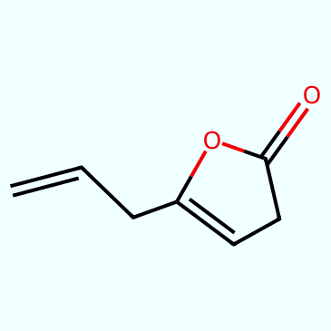 C=CCC1=CCC(=O)O1